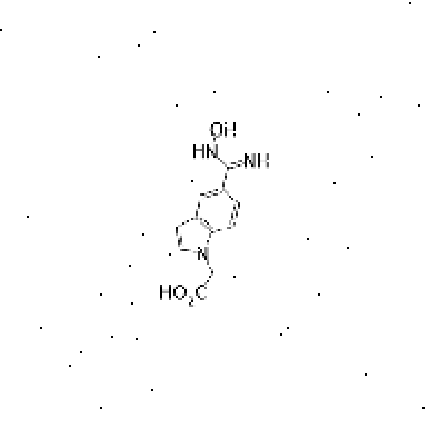 N=C(NO)c1ccc2c(ccn2CC(=O)O)c1